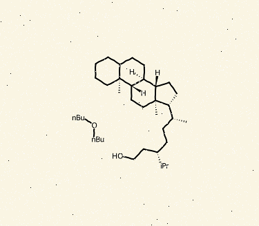 CC(C)[C@H](CCO)CC[C@@H](C)[C@H]1CC[C@H]2[C@@H]3CCC4CCCC[C@]4(C)[C@H]3CC[C@]12C.CCCCOCCCC